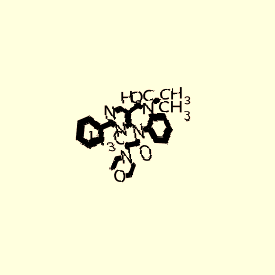 CC(C(=O)N1c2ccccc2N(C(C)(C)C)C(=O)c2cnc(-c3ccccc3)nc21)N1CCOCC1